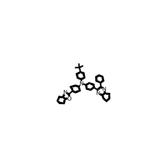 CC(C)(C)c1ccc(N(c2ccc(-c3nc4ccccc4o3)cc2)c2ccc(-c3nc4ccccc4nc3-c3ccccc3)cc2)cc1